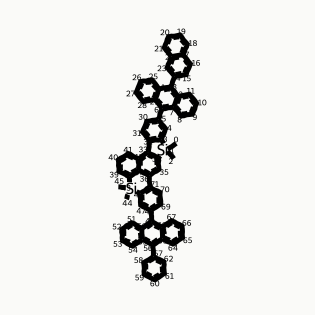 C[Si]1(C)c2cc(-c3c4ccccc4c(-c4ccc5ccccc5c4)c4ccccc34)ccc2-c2c1cc1c3c(cccc23)[Si](C)(C)c2cc(-c3c4ccccc4c(-c4ccccc4)c4ccccc34)ccc2-1